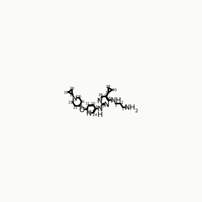 NCCCNc1nc(Nc2ccc(OC3CCN(C4CC4)CC3)nc2)ncc1C1CC1